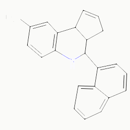 O=C(O)c1ccc2c(c1)C1C=CCC1C(c1cccc3ccccc13)N2